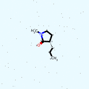 CCC[C@H]1CCN(C)C1=O